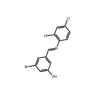 Oc1cc(Br)cc(C=Nc2ccc(Cl)cc2Cl)c1